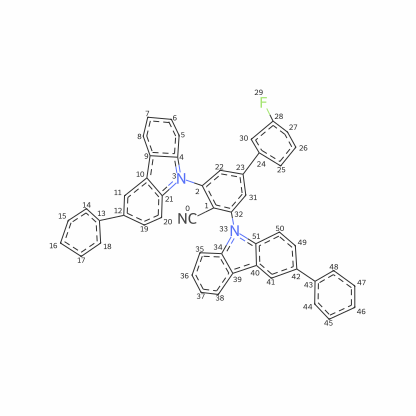 N#Cc1c(-n2c3ccccc3c3cc(-c4ccccc4)ccc32)cc(-c2cccc(F)c2)cc1-n1c2ccccc2c2cc(-c3ccccc3)ccc21